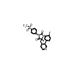 CC1(Cc2ccncc2-c2ccc(F)cc2)NC(=O)N(c2ccc(S(=O)(=O)C(F)(F)F)cc2)C1=O